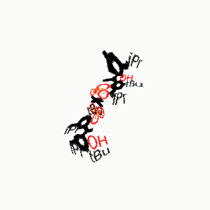 Cc1cc(CC(C)C)c(O)c(C(C)c2cc(C(C)(C)C)cc(CC(C)C)c2OP2OCC3(CO2)COP(Oc2c(C(C)c4cc(CC(C)C)cc(C(C)(C)C)c4O)cc(CC(C)C)cc2C(C)(C)C)OC3)c1